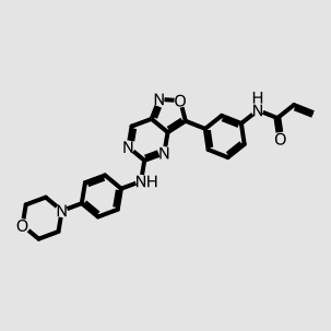 C=CC(=O)Nc1cccc(-c2onc3cnc(Nc4ccc(N5CCOCC5)cc4)nc23)c1